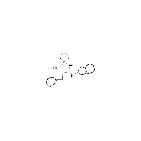 NC1(C(=O)N(C(=O)c2cc3ccccc3s2)[C@H]([C]=O)Cc2ccccc2)CCCC1